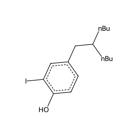 CCCCC(CCCC)Cc1ccc(O)c(I)c1